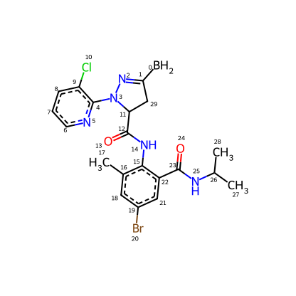 BC1=NN(c2ncccc2Cl)C(C(=O)Nc2c(C)cc(Br)cc2C(=O)NC(C)C)C1